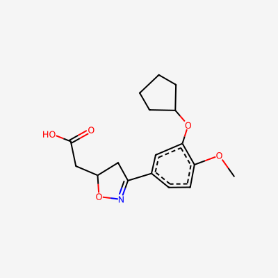 COc1ccc(C2=NOC(CC(=O)O)C2)cc1OC1CCCC1